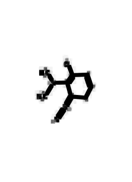 CN(C)C1=C(Cl)C=CCC1=[N+]=[N-]